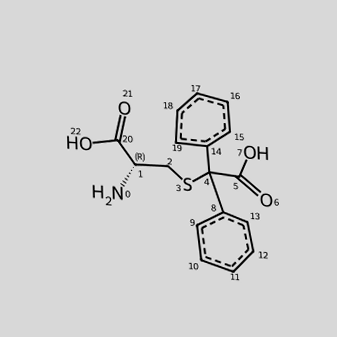 N[C@@H](CSC(C(=O)O)(c1ccccc1)c1ccccc1)C(=O)O